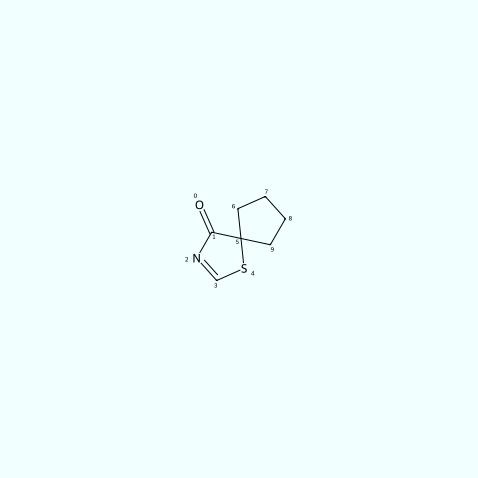 O=C1N=CSC12CCCC2